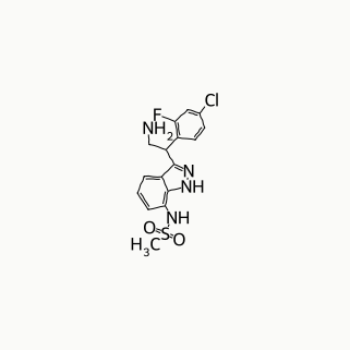 CS(=O)(=O)Nc1cccc2c(C(CN)c3ccc(Cl)cc3F)n[nH]c12